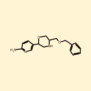 Nc1ccc(C2CNC(COCc3ccccc3)CO2)cn1